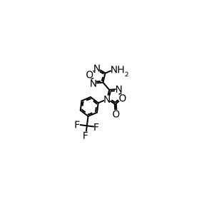 Nc1nonc1-c1noc(=O)n1-c1cccc(C(F)(F)F)c1